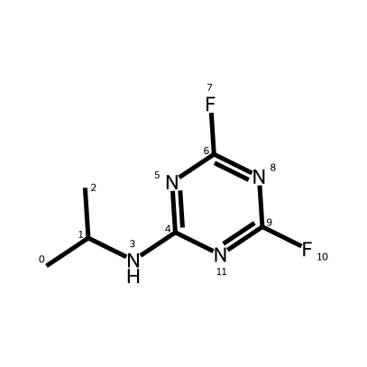 CC(C)Nc1nc(F)nc(F)n1